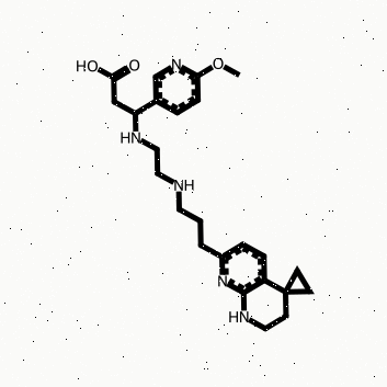 COc1ccc(C(CC(=O)O)NCCNCCCc2ccc3c(n2)NCCC32CC2)cn1